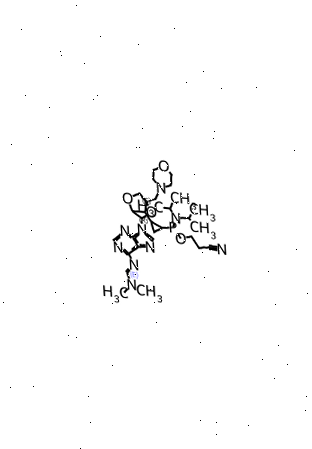 CC(C)N(C(C)C)P(OCCC#N)C1CC1C1C2OC[C@]1(CN1CCOCC1)O[C@H]2n1cnc2c(/N=C/N(C)C)ncnc21